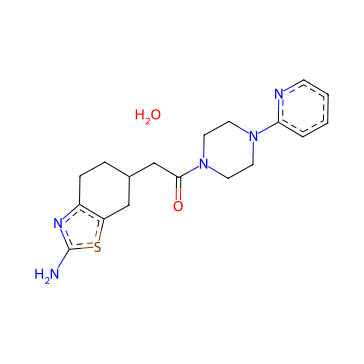 Nc1nc2c(s1)CC(CC(=O)N1CCN(c3ccccn3)CC1)CC2.O